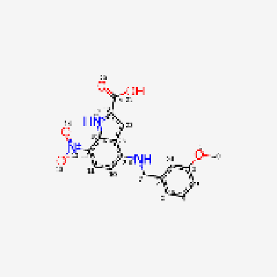 COc1cccc(CNc2ccc([N+](=O)[O-])c3[nH]c(C(=O)O)cc23)c1